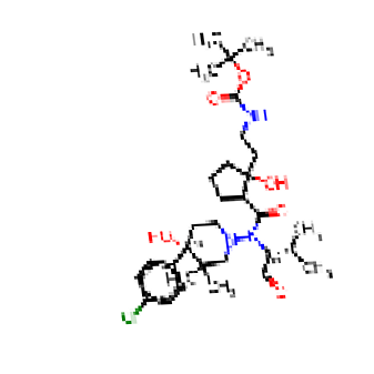 CC(C)[C@H](C=O)N(C(=O)C1CCCC1(O)CCNC(=O)OC(C)(C)C)N1CC[C@](O)(c2ccc(Cl)cc2)C(C)(C)C1